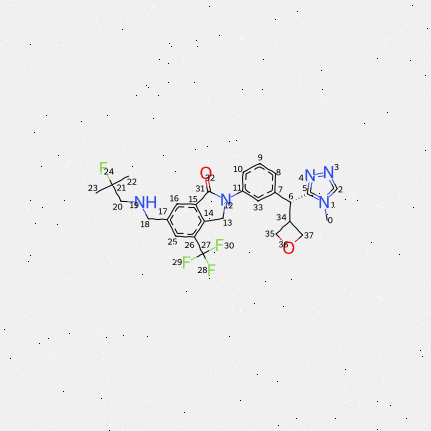 Cn1cnnc1[C@@H](c1cccc(N2Cc3c(cc(CNCC(C)(C)F)cc3C(F)(F)F)C2=O)c1)C1COC1